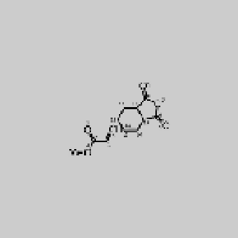 C=CC(=O)OC.O=C1OC(=O)C2CCC=CC12